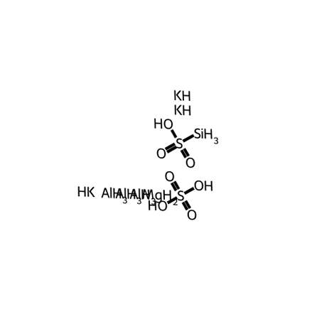 O=S(=O)(O)O.O=S(=O)(O)[SiH3].[AlH3].[AlH3].[AlH3].[KH].[KH].[KH].[MgH2]